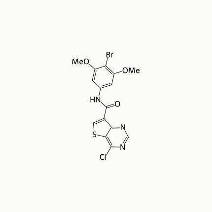 COc1cc(NC(=O)c2csc3c(Cl)ncnc23)cc(OC)c1Br